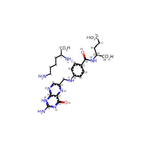 NCCCCC(N)C(=O)O.Nc1nc(=O)c2nc(CNc3ccc(C(=O)N[C@@H](CCC(=O)O)C(=O)O)cc3)cnc2[nH]1